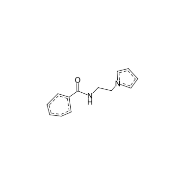 O=C(NCCn1cccc1)c1ccccc1